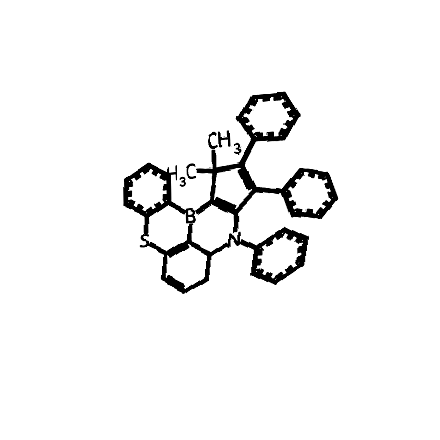 CC1(C)C2=C(C(c3ccccc3)=C1c1ccccc1)N(c1ccccc1)C1CC=CC3=C1B2c1ccccc1S3